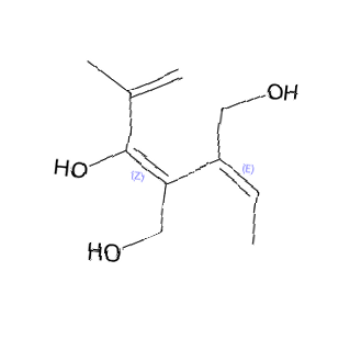 C=C(C)/C(O)=C(CO)\C(=C/C)CO